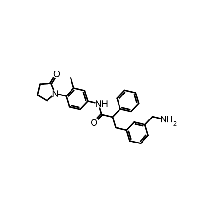 Cc1cc(NC(=O)C(Cc2cccc(CN)c2)c2ccccc2)ccc1N1CCCC1=O